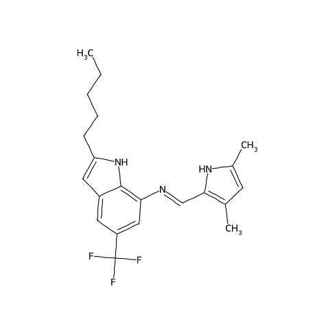 CCCCCc1cc2cc(C(F)(F)F)cc(N=Cc3[nH]c(C)cc3C)c2[nH]1